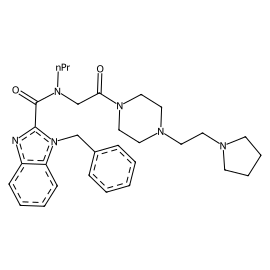 CCCN(CC(=O)N1CCN(CCN2CCCC2)CC1)C(=O)c1nc2ccccc2n1Cc1ccccc1